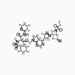 CCS(=O)(=O)N1CC(CC#N)(n2cc(-c3ncnc4c3ccn4COC3=C(C(=O)Nc4ccccn4)N(C)S(=O)(=O)c4ccccc43)cn2)C1